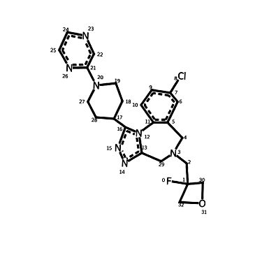 FC1(CN2Cc3cc(Cl)ccc3-n3c(nnc3C3CCN(c4cnccn4)CC3)C2)COC1